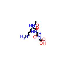 CC(=O)N[C@@H](CCCCN)C(=O)NCC(=O)NCC(=O)O